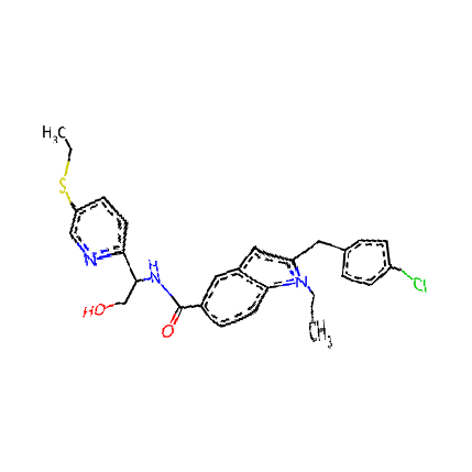 CCSc1ccc(C(CO)NC(=O)c2ccc3c(c2)cc(Cc2ccc(Cl)cc2)n3CC)nc1